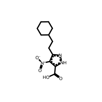 O=C(O)c1[nH]nc(CCC2CCCCC2)c1[N+](=O)[O-]